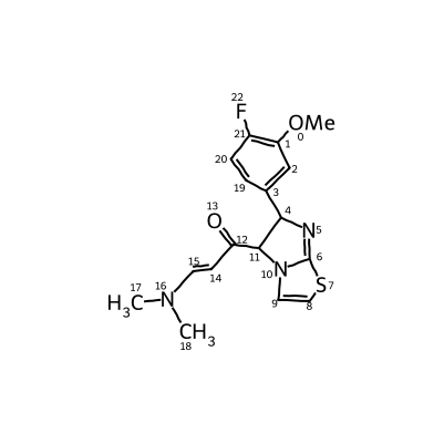 COc1cc(C2N=C3SC=CN3C2C(=O)C=CN(C)C)ccc1F